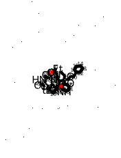 CCC(=O)N1CCC(C(=O)OCc2ccccc2)(c2ccccc2)C(c2c[nH]c3ccccc23)C1NC(=O)C(C)(C)NC(=O)OC(C)(C)C